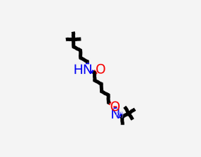 C/C(=N/OCCCCCC(=O)NCCCCC(C)(C)C)C(C)(C)C